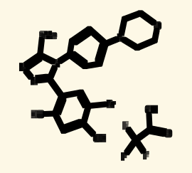 CSc1nnc(-c2cc(Br)c(O)cc2O)n1-c1ccc(N2CCOCC2)cc1.O=C(O)C(F)(F)F